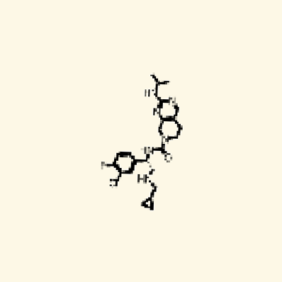 CC(C)Nc1ncc2c(n1)CN(C(=O)N[C@H](CNCC1CC1)c1ccc(F)c(Cl)c1)CC2